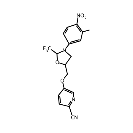 Cc1cc(N2CC(COc3ccc(C#N)nc3)OC2C(F)(F)F)ccc1[N+](=O)[O-]